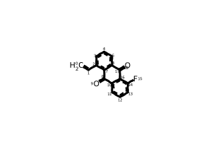 C=Cc1cccc2c1C(=O)c1cccc(F)c1C2=O